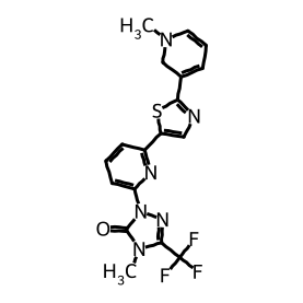 CN1C=CC=C(c2ncc(-c3cccc(-n4nc(C(F)(F)F)n(C)c4=O)n3)s2)C1